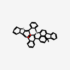 CC1(C)c2ccccc2-c2ccc(N(c3ccccc3-c3cccc4c3SC3C=CC=CC43)c3ccc4ccccc4c3-c3ccccc3)cc21